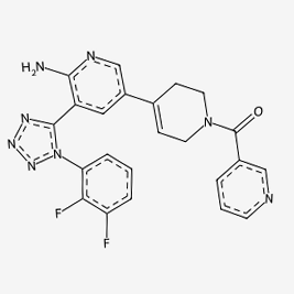 Nc1ncc(C2=CCN(C(=O)c3cccnc3)CC2)cc1-c1nnnn1-c1cccc(F)c1F